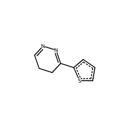 C1=NN=C(c2cccs2)CC1